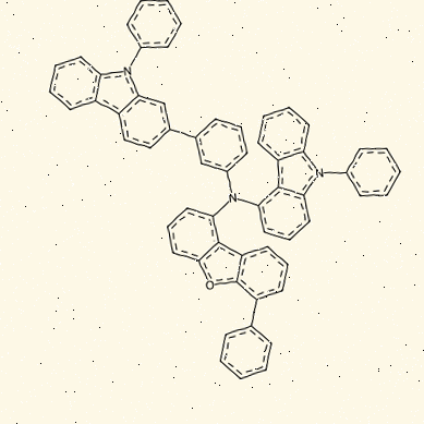 c1ccc(-c2cccc3c2oc2cccc(N(c4cccc(-c5ccc6c7ccccc7n(-c7ccccc7)c6c5)c4)c4cccc5c4c4ccccc4n5-c4ccccc4)c23)cc1